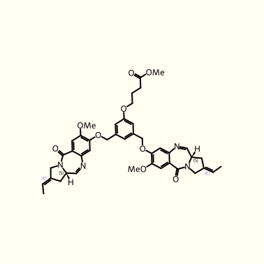 C/C=C1\C[C@H]2C=Nc3cc(OCc4cc(COc5cc6c(cc5OC)C(=O)N5C/C(=C/C)C[C@H]5C=N6)cc(OCCCC(=O)OC)c4)c(OC)cc3C(=O)N2C1